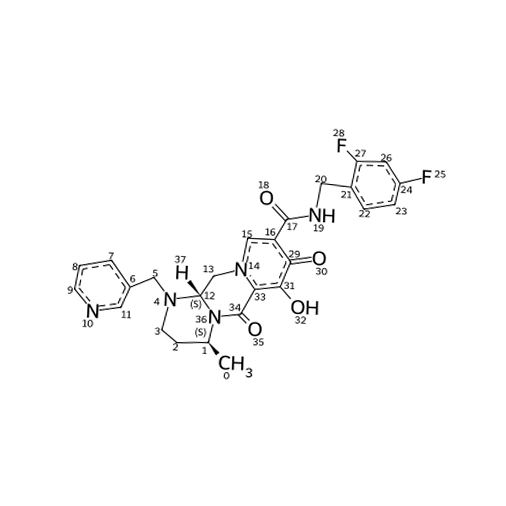 C[C@H]1CCN(Cc2cccnc2)[C@@H]2Cn3cc(C(=O)NCc4ccc(F)cc4F)c(=O)c(O)c3C(=O)N12